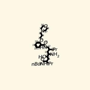 CCCCNC(=O)C(CC(O)C(N)CC(CNC(=O)c1ccccc1OCCCN1CCOCC1)C(C)C)C(C)C